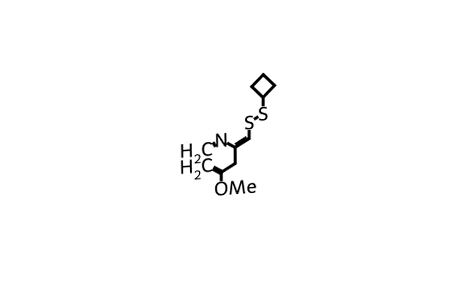 C=N/C(=C\SSC1CCC1)CC(=C)OC